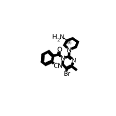 CC1=C(Br)CN(C(=O)c2ccccc2C#N)C(N2CCC[C@@H](N)C2)=N1